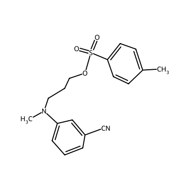 Cc1ccc(S(=O)(=O)OCCCN(C)c2cccc(C#N)c2)cc1